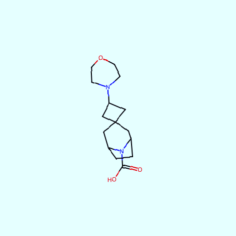 O=C(O)N1C2CCC1CC1(CC(N3CCOCC3)C1)C2